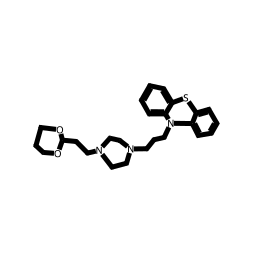 c1ccc2c(c1)Sc1ccccc1N2CCCN1CCN(CCC2OCCCO2)CC1